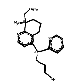 COC[C@]1(C)CCCc2c([C@@H](CCCN)c3ccccn3)ccnc21